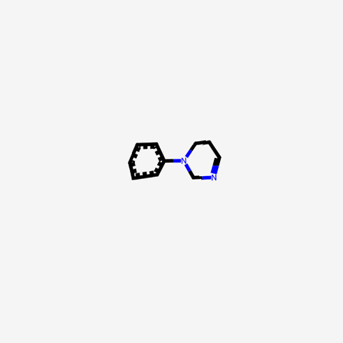 C1=NCN(c2ccccc2)CC1